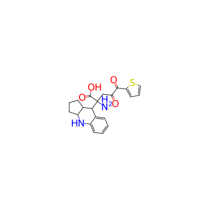 NC(CC(=O)C(=O)c1cccs1)(C(=O)O)C1c2ccccc2NC2CCCC21